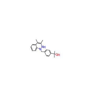 CC1=C(C)c2ccccc2N(Cc2ccc(C(C)(C)O)cc2)N1